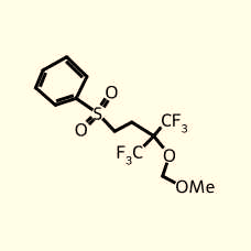 COCOC(CCS(=O)(=O)c1ccccc1)(C(F)(F)F)C(F)(F)F